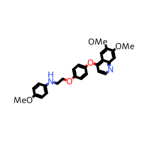 COc1ccc(NCCOc2ccc(Oc3ccnc4cc(OC)c(OC)cc34)cc2)cc1